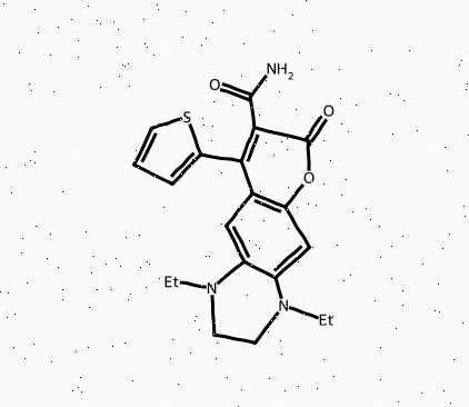 CCN1CCN(CC)c2cc3c(-c4cccs4)c(C(N)=O)c(=O)oc3cc21